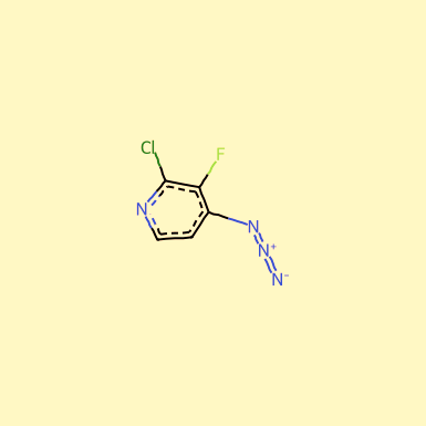 [N-]=[N+]=Nc1ccnc(Cl)c1F